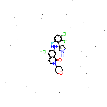 Cl.O=c1c2cc(N[C@]3(c4c(F)ccc(Cl)c4Cl)CCNC3)ccc2ccn1C1CCOCC1